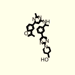 Cc1nc(NC(C)c2cccc(-c3cnc(N4CCC(CO)CC4)nc3)c2)cc(-c2ccc3occ(C)c3c2)n1